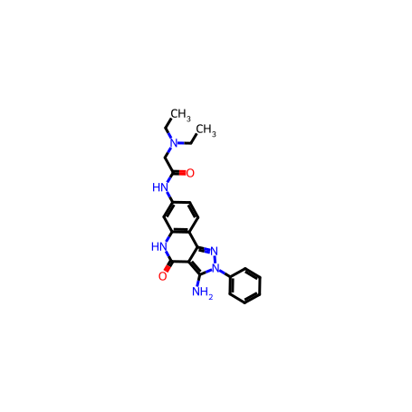 CCN(CC)CC(=O)Nc1ccc2c(c1)[nH]c(=O)c1c(N)n(-c3ccccc3)nc12